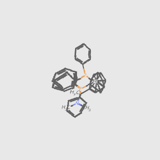 CC(N(C)C)[C]12[CH]3[CH]4[CH]5[C]1(P(c1ccccc1)c1ccccc1)[Fe]43521678[CH]2[CH]1[CH]6[C]7(P(c1ccccc1)c1ccccc1)[CH]28